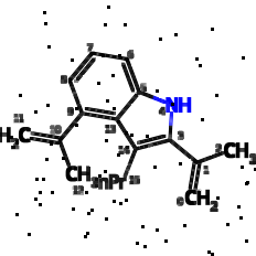 C=C(C)c1[nH]c2cccc(C(=C)C)c2c1CCC